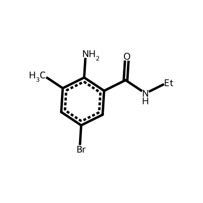 CCNC(=O)c1cc(Br)cc(C)c1N